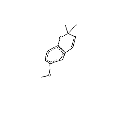 COc1c[c]c2c(c1)C=CC(C)(C)O2